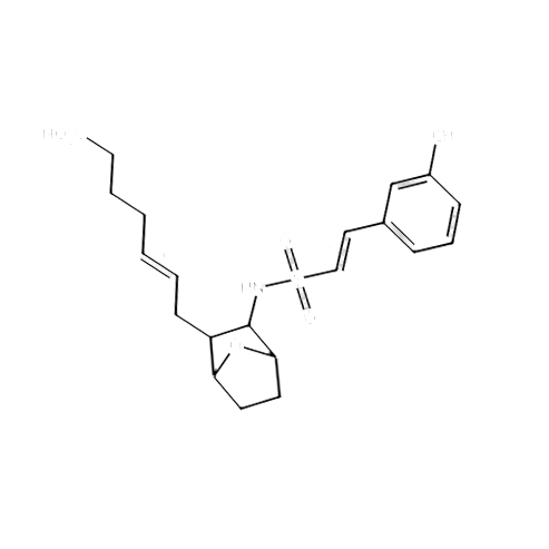 Cc1cccc(/C=C/S(=O)(=O)NC2C3CCC(O3)C2C/C=C/CCCC(=O)O)c1